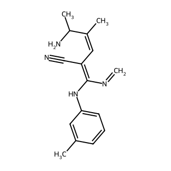 C=N/C(Nc1cccc(C)c1)=C(C#N)\C=C(\C)C(C)N